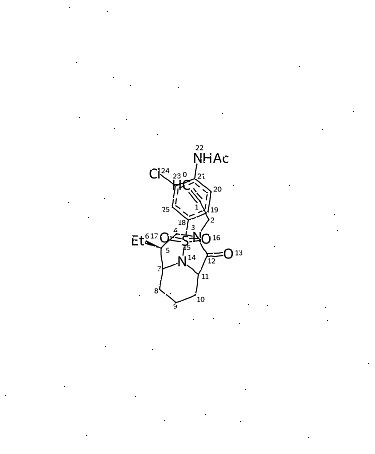 C#CCN1C[C@H](CC)C2CCCC(C1=O)N2S(=O)(=O)c1ccc(NC(C)=O)c(Cl)c1